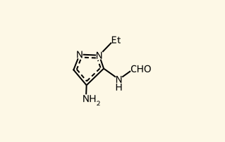 CCn1ncc(N)c1NC=O